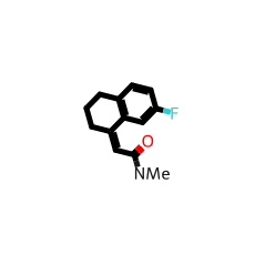 CNC(=O)/C=C1/CCCc2ccc(F)cc21